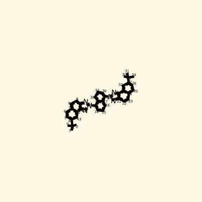 CC(C)(C)c1ccc2ccc3nn(-c4cccc5c(-n6nc7ccc8ccc(C(C)(C)C)cc8c7n6)cccc45)nc3c2c1